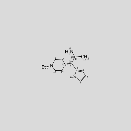 CCN1CCN([C@H](c2cccs2)[C@H](C)N)CC1